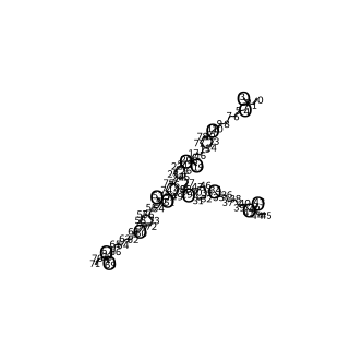 C=CC(=O)OCCCCCCOc1ccc(CCC(=O)Oc2ccc3c(c2)cc(Oc2ccc(OCCCCCCOC(=O)C=C)cc2)c2cc(OC(=O)CCc4ccc(OCCCCCCOC(=O)C=C)cc4)ccc23)cc1